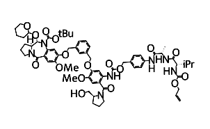 C=CCOC(=O)N[C@H](C(=O)N[C@@H](C)C(=O)Nc1ccc(COC(=O)Nc2cc(OCc3cccc(COc4cc5c(cc4OC)C(=O)N4CCC[C@H]4[C@H](OC4CCCCO4)N5C(=O)OC(C)(C)C)c3)c(OC)cc2C(=O)N2CCC[C@H]2CO)cc1)C(C)C